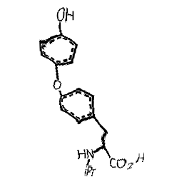 CC(C)NC(Cc1ccc(Oc2ccc(O)cc2)cc1)C(=O)O